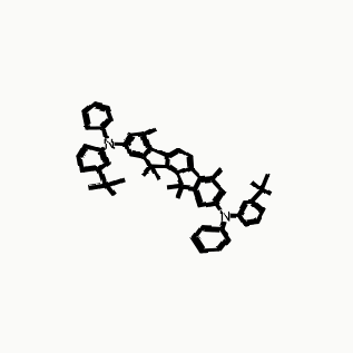 Cc1cc(N(c2ccccc2)c2cccc(C(C)(C)C)c2)cc2c1-c1ccc3c(c1C2(C)C)C(C)(C)c1cc(N(c2ccccc2)c2cccc(C(C)(C)C)c2)cc(C)c1-3